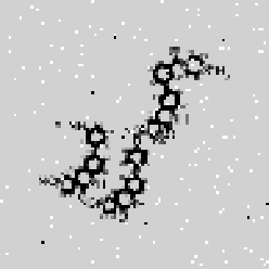 CC(=O)Nc1ccc(-c2ccc3c(c2)CC2(CCN(C#N)C2)C(=O)N3)cc1.CC(=O)Nc1cccc(-c2ccc3c(c2)CC2(CCN(C#N)C2)C(=O)N3)c1.CN1CCN(C(=O)c2cccc(-c3ccc4c(c3)CC3(CCN(C#N)C3)C(=O)N4)c2)CC1